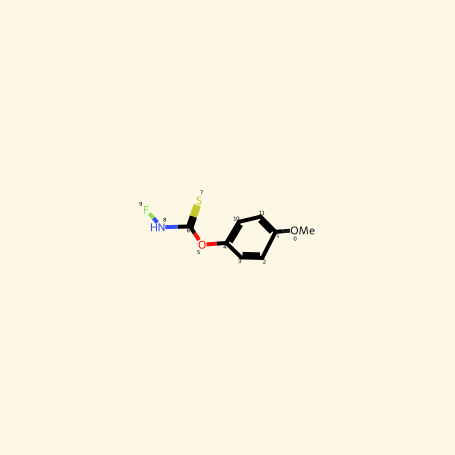 COc1ccc(OC(=S)NF)cc1